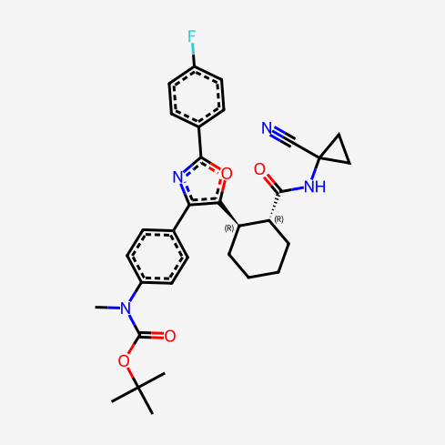 CN(C(=O)OC(C)(C)C)c1ccc(-c2nc(-c3ccc(F)cc3)oc2[C@@H]2CCCC[C@H]2C(=O)NC2(C#N)CC2)cc1